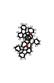 c1ccc(-c2ccccc2-c2ccccc2N(c2ccc(C3(c4ccccc4)c4ccccc4-c4ccccc43)cc2)c2cccc3c2C(c2ccccc2)(c2ccccc2)c2ccccc2-3)cc1